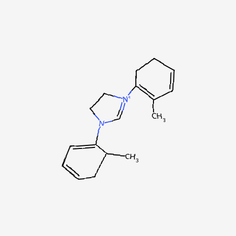 CC1=C([N+]2=CN(C3=CC=CCC3C)CC2)CCC=C1